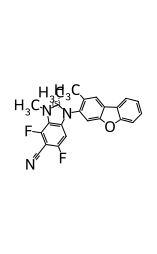 Cc1cc2c(cc1N1c3cc(F)c(C#N)c(F)c3N(C)[C@@H]1C)oc1ccccc12